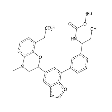 CN1CC(c2cc(-c3cccc(C(CO)NC(=O)OC(C)(C)C)c3)c3occc3c2)Oc2c(CC(=O)O)cccc21